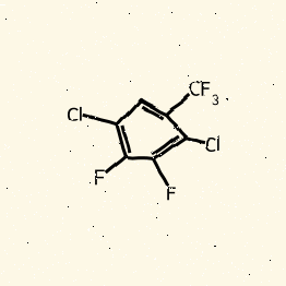 Fc1c(Cl)cc(C(F)(F)F)c(Cl)c1F